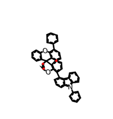 c1ccc(-c2cccc3c2Oc2ccccc2C32c3ccccc3Oc3c(-c4cccc5c4c4ccccc4n5-c4ccccc4)cccc32)cc1